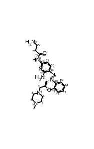 C=C(CN1CCN(C)CC1)Oc1ccccc1/N=N/c1ccc(NC(=O)CCN)nc1N